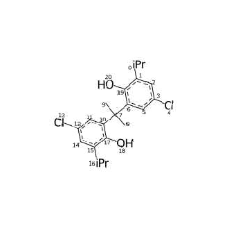 CC(C)c1cc(Cl)cc(C(C)(C)c2cc(Cl)cc(C(C)C)c2O)c1O